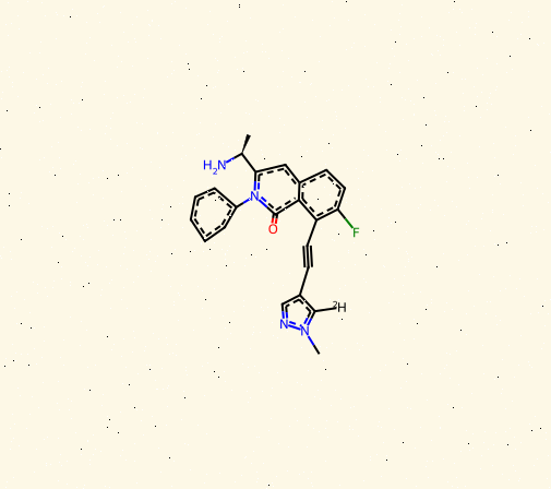 [2H]c1c(C#Cc2c(F)ccc3cc([C@H](C)N)n(-c4ccccc4)c(=O)c23)cnn1C